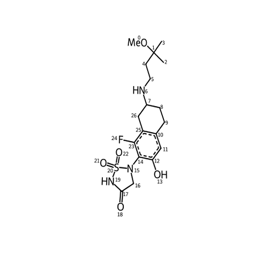 COC(C)(C)CCNC1CCc2cc(O)c(N3CC(=O)NS3(=O)=O)c(F)c2C1